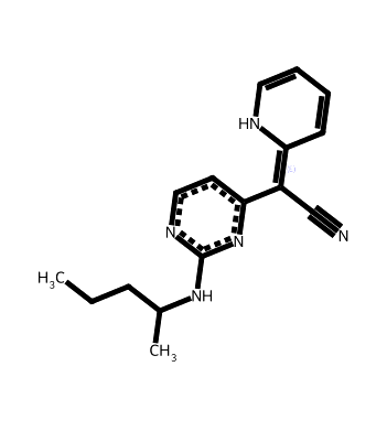 CCCC(C)Nc1nccc(/C(C#N)=C2/C=CC=CN2)n1